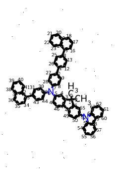 CC1(C)c2cc(N(c3ccc(-c4ccc(-c5cccc6ccccc56)cc4)cc3)c3ccc(-c4cccc5ccccc45)cc3)ccc2-c2ccc(-n3c4ccccc4c4ccccc43)cc21